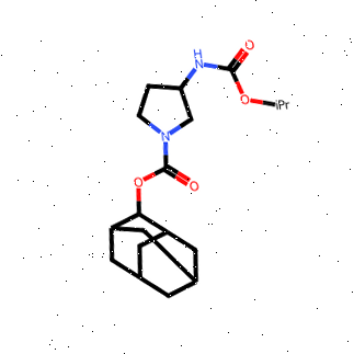 CC(C)OC(=O)NC1CCN(C(=O)OC2C3CC4CC(C3)CC2C4)C1